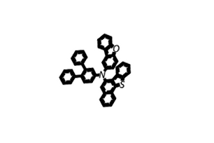 c1ccc(-c2ccc(N(c3ccc4oc5ccccc5c4c3)c3cc4ccccc4c4sc5ccccc5c34)cc2-c2ccccc2)cc1